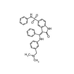 CN(C)Cc1cccc(N/C(=C2\C(=O)Nc3ccc(S(=O)(=O)Nc4ccccc4)cc32)c2ccccc2)c1